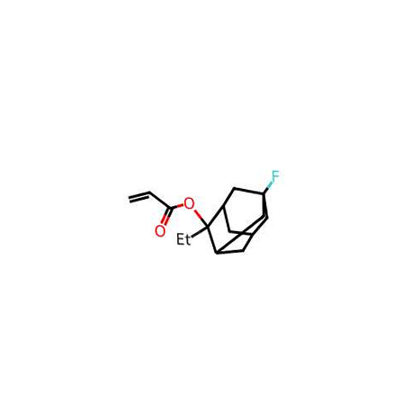 C=CC(=O)OC1(CC)C2CC3CC1CC(F)(C3)C2